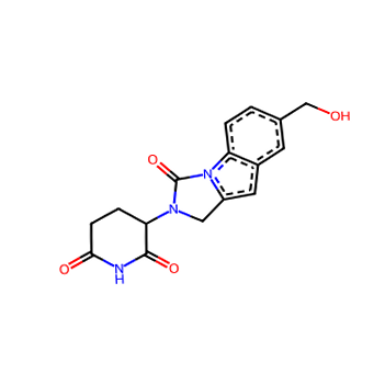 O=C1CCC(N2Cc3cc4cc(CO)ccc4n3C2=O)C(=O)N1